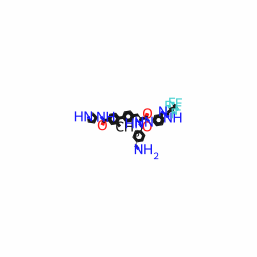 Cc1cc(C(=O)N[C@@H]2CCNC2)ccc1-c1ccc(C[C@H](NC(=O)[C@H]2CC[C@H](CN)CC2)C(=O)Nc2ccc3[nH]c(C(F)(F)C(F)(F)F)nc3c2)cc1